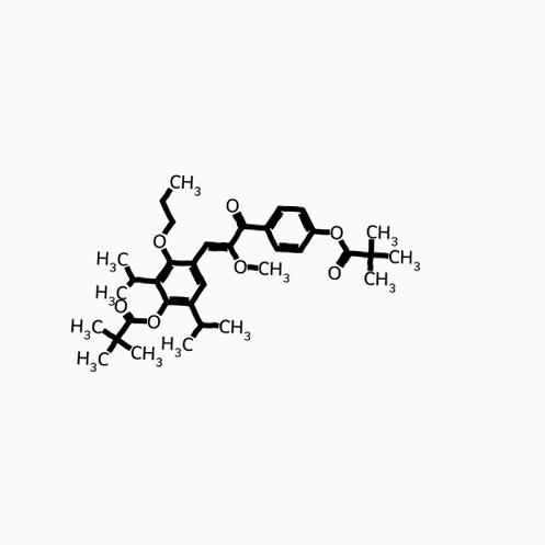 CCCOc1c(C=C(OC)C(=O)c2ccc(OC(=O)C(C)(C)C)cc2)cc(C(C)C)c(OC(=O)C(C)(C)C)c1C(C)C